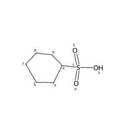 O=S(=O)(O)C1C[CH]CCC1